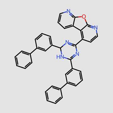 c1ccc(-c2cccc(C3=NC(c4ccnc5oc6ncccc6c45)=NC(c4cccc(-c5ccccc5)c4)N3)c2)cc1